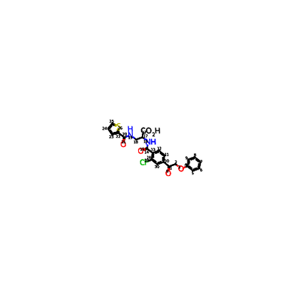 O=C(COc1ccccc1)c1ccc(C(=O)N[C@@H](CNC(=O)c2cccs2)C(=O)O)c(Cl)c1